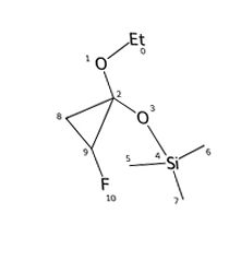 CCOC1(O[Si](C)(C)C)CC1F